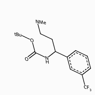 CNCCC(NC(=O)OC(C)(C)C)c1cccc(C(F)(F)F)c1